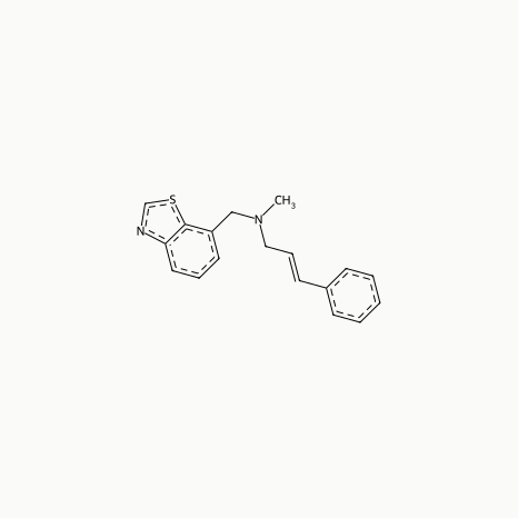 CN(CC=Cc1ccccc1)Cc1cccc2ncsc12